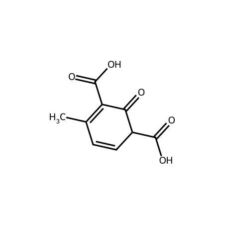 CC1=C(C(=O)O)C(=O)C(C(=O)O)C=C1